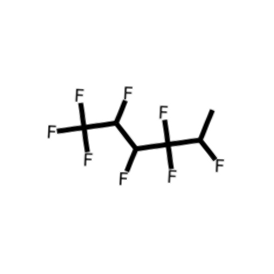 CC(F)C(F)(F)C(F)C(F)C(F)(F)F